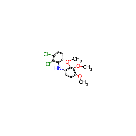 COc1ccc(Nc2cc[c]c(Cl)c2Cl)c(OC)c1OC